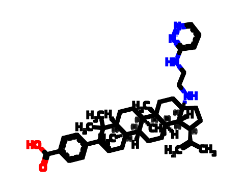 C=C(C)[C@@H]1CC[C@]2(NCCNc3cccnn3)CC[C@]3(C)[C@H](CC[C@@H]4[C@@]5(C)CC=C(c6ccc(C(=O)O)cc6)C(C)(C)[C@@H]5CC[C@]43C)[C@@H]12